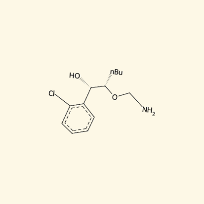 CCCC[C@H](OCN)[C@@H](O)c1ccccc1Cl